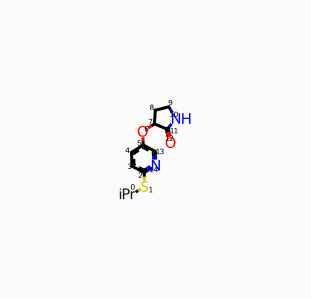 CC(C)Sc1ccc(OC2CCNC2=O)cn1